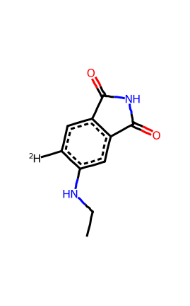 [2H]c1cc2c(cc1NCC)C(=O)NC2=O